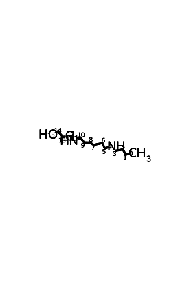 CCCCNCCCCCCNOCCO